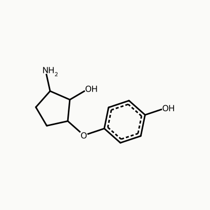 NC1CCC(Oc2ccc(O)cc2)C1O